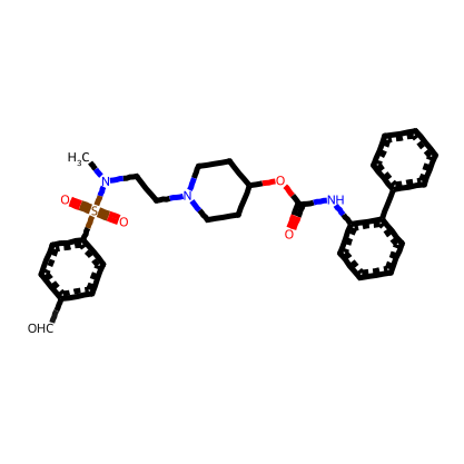 CN(CCN1CCC(OC(=O)Nc2ccccc2-c2ccccc2)CC1)S(=O)(=O)c1ccc(C=O)cc1